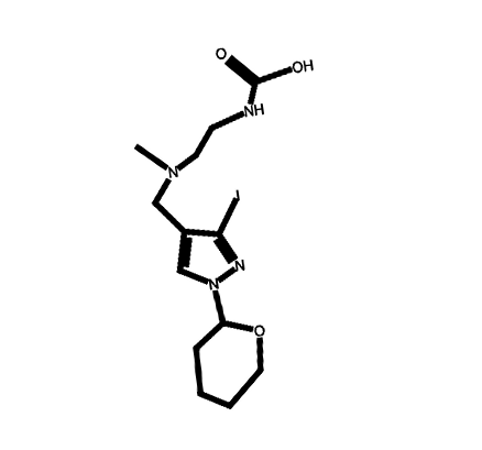 CN(CCNC(=O)O)Cc1cn(C2CCCCO2)nc1I